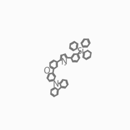 Cn1c(-c2cccc([Si](C3=CC=CCC3)(c3ccccc3)c3ccccc3)c2)ccc1-c1ccc2oc3ccc(-n4c5ccccc5c5ccccc54)cc3c2c1